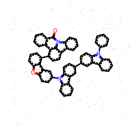 O=c1c2ccccc2c2c(-c3cccc4oc5ccc(-n6c7ccccc7c7cc(-c8ccc9c(c8)c8ccccc8n9-c8ccccc8)ccc76)cc5c34)ccc3c4ccccc4n1c32